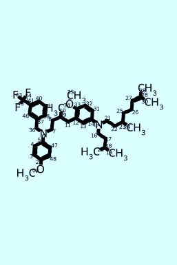 COc1ccc(N(CCC(C)Cc2cc(N(CCC(C)C)CCC(C)CCC=C(C)C)ccc2OC)Cc2cccc(C(F)(F)F)c2)cc1